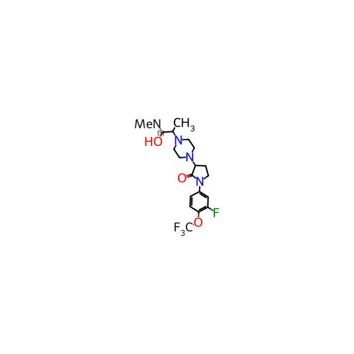 CN[C@@H](O)C(C)N1CCN(C2CCN(c3ccc(OC(F)(F)F)c(F)c3)C2=O)CC1